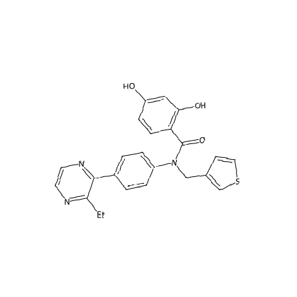 CCc1nccnc1-c1ccc(N(Cc2ccsc2)C(=O)c2ccc(O)cc2O)cc1